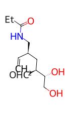 C=C[C@@H](CNC(=O)CC)C[C@H](C=O)[C@H](O)CO